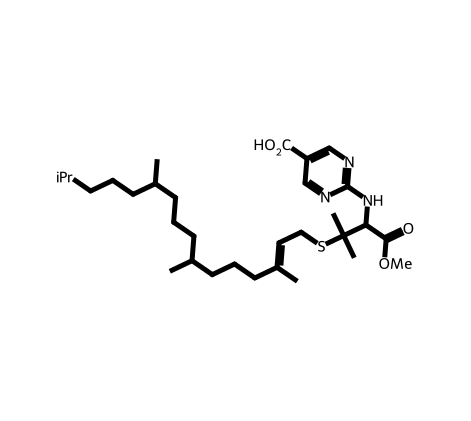 COC(=O)C(Nc1ncc(C(=O)O)cn1)C(C)(C)SC/C=C(\C)CCCC(C)CCCC(C)CCCC(C)C